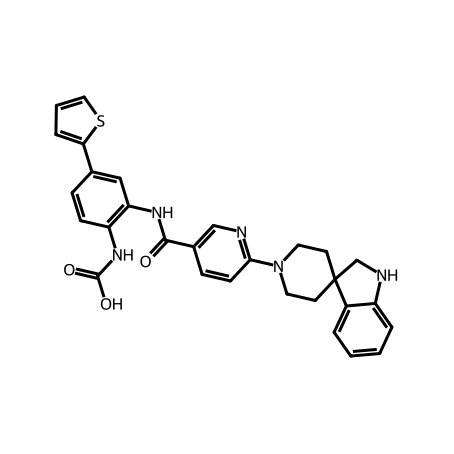 O=C(O)Nc1ccc(-c2cccs2)cc1NC(=O)c1ccc(N2CCC3(CC2)CNc2ccccc23)nc1